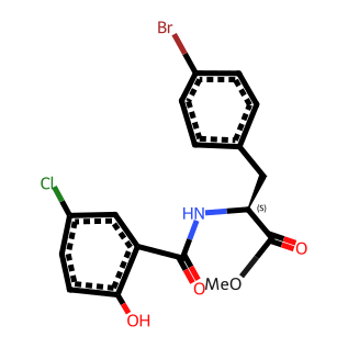 COC(=O)[C@H](Cc1ccc(Br)cc1)NC(=O)c1cc(Cl)ccc1O